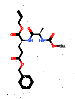 C=CCOC(=O)[C@@H](CCC(=O)OCc1ccccc1)NC(=O)[C@H](C)NC(=O)OC(C)(C)C